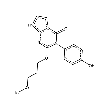 CCOCCCOc1nc2[nH]ccc2c(=O)n1-c1ccc(O)cc1